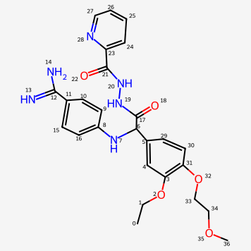 CCOc1cc(C(Nc2ccc(C(=N)N)cc2)C(=O)NNC(=O)c2ccccn2)ccc1OCCOC